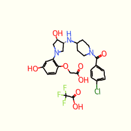 O=C(O)C(F)(F)F.O=C(O)COc1ccc(O)cc1N1C[C@@H](O)[C@H](NC2CCN(C(=O)c3ccc(Cl)cc3)CC2)C1